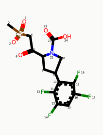 CS(=O)(=O)CC(=O)C1CC(c2c(F)c(F)cc(F)c2F)CN1C(=O)O